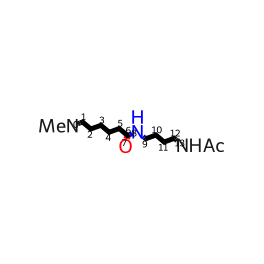 CNCCCCCC(=O)NCCCCNC(C)=O